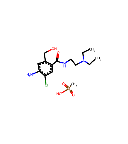 CCN(CC)CCNC(=O)c1cc(Cl)c(N)cc1CO.CS(=O)(=O)O